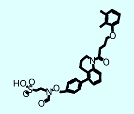 Cc1cccc(OCCCC(=O)N2CCCc3c(-c4ccc(CON(C=O)CCS(=O)(=O)O)cc4)cccc32)c1C